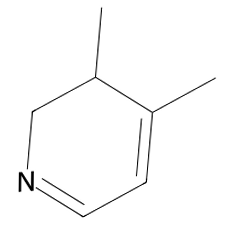 CC1=CC=NCC1C